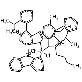 CCCCC1=Cc2c(ccc(C)c2-c2ccccc2C(C)C)[CH]1[Zr]([Cl])([Cl])([c]1cccc2c1[SiH2]c1ccccc1-2)[CH]1C(CCCC)=Cc2c1ccc(C)c2-c1ccccc1C(C)C